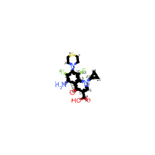 Nc1c(F)c(N2CCSCC2)c(F)c2c1c(=O)c(C(=O)O)cn2C1CC1